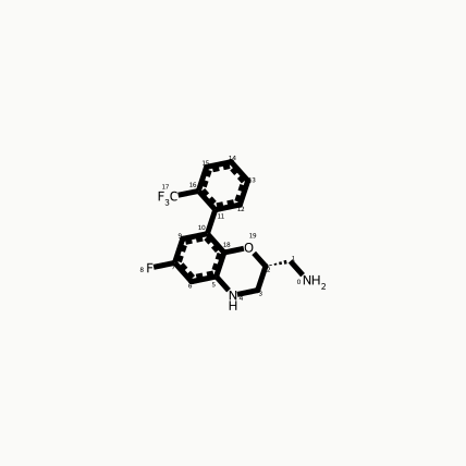 NC[C@@H]1CNc2cc(F)cc(-c3ccccc3C(F)(F)F)c2O1